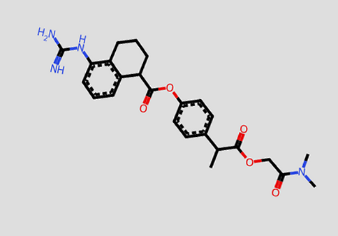 CC(C(=O)OCC(=O)N(C)C)c1ccc(OC(=O)C2CCCc3c(NC(=N)N)cccc32)cc1